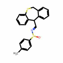 Cc1ccc([S+]([O-])/N=C/C2c3ccccc3CSc3ccccc32)cc1